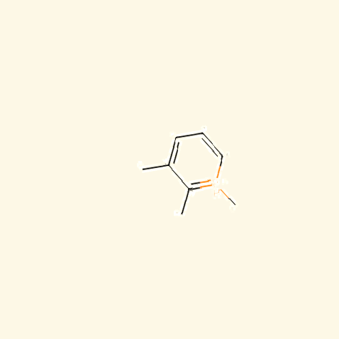 CC1=CC=C[PH](C)=C1C